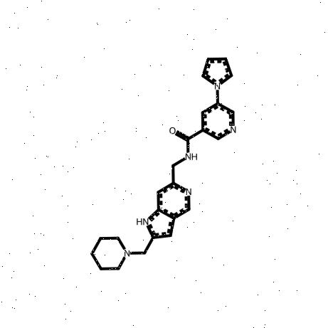 O=C(NCc1cc2[nH]c(CN3CCCCC3)cc2cn1)c1cncc(-n2cccc2)c1